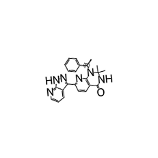 C[C@H](c1ccccc1)N1c2nc(-c3n[nH]c4ncccc34)ccc2C(=O)NC1(C)C